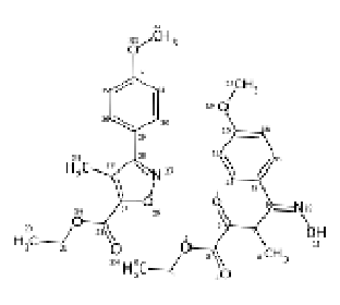 CCOC(=O)C(=O)C(C)C(=NO)c1ccc(OC)cc1.CCOC(=O)c1onc(-c2ccc(OC)cc2)c1C